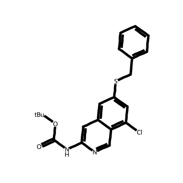 CC(C)(C)OC(=O)Nc1cc2cc(SCc3ccccc3)cc(Cl)c2cn1